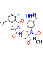 CN1C(=O)N(c2ccc3[nH]ncc3c2)C2(CCN(C(=O)C3(NC(=O)c4cc(C(F)(F)F)ccc4F)CC3)CC2)C1=O